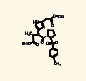 COC(=O)[C@H](C)N(C(=O)[C@@H]1CCCN1S(=O)(=O)c1ccc(C)cc1)c1c[nH]c(CC(=O)OC(C)(C)C)n1